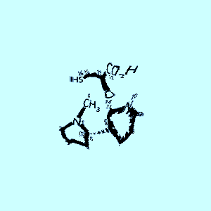 CN1CCC[C@H]1c1cccnc1.O=C(O)C(=O)CS